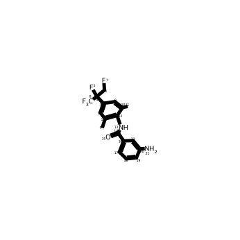 Cc1cc(C(F)(CF)C(F)(F)F)cc(C)c1NC(=O)c1cccc(N)c1